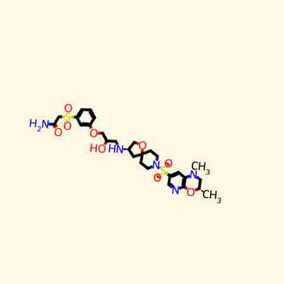 C[C@H]1CN(C)c2cc(S(=O)(=O)N3CCC4(CC3)C[C@@H](NCC(O)COc3cccc(S(=O)(=O)CC(N)=O)c3)CO4)cnc2O1